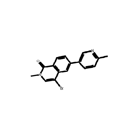 Cc1ccc(-c2ccc3c(=O)n(C)cc(Br)c3c2)cn1